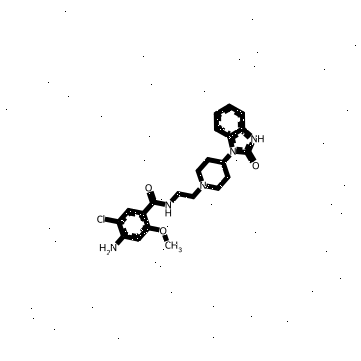 COc1cc(N)c(Cl)cc1C(=O)NCCN1CCC(n2c(=O)[nH]c3ccccc32)CC1